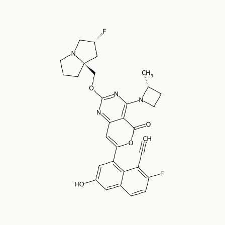 C#Cc1c(F)ccc2cc(O)cc(-c3cc4nc(OC[C@@]56CCCN5C[C@H](F)C6)nc(N5CC[C@H]5C)c4c(=O)o3)c12